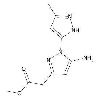 COC(=O)Cc1cc(N)n(-c2cc(C)n[nH]2)n1